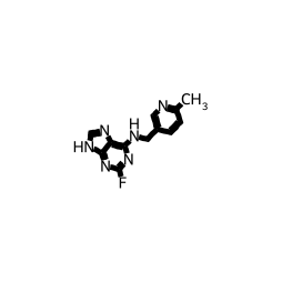 Cc1ccc(CNc2nc(F)nc3[nH]cnc23)cn1